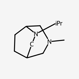 CC(C)N1CC2CCC1CN(C)C2